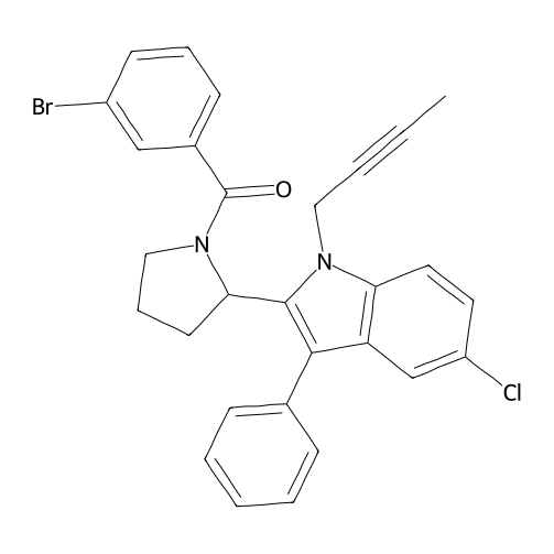 CC#CCn1c(C2CCCN2C(=O)c2cccc(Br)c2)c(-c2ccccc2)c2cc(Cl)ccc21